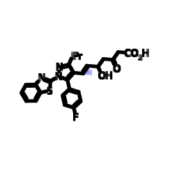 CC(C)c1nn(-c2nc3ccccc3s2)c(-c2ccc(F)cc2)c1/C=C/C(O)CC(=O)CC(=O)O